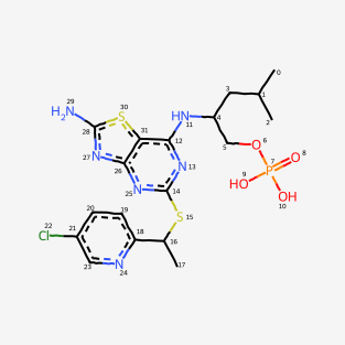 CC(C)CC(COP(=O)(O)O)Nc1nc(SC(C)c2ccc(Cl)cn2)nc2nc(N)sc12